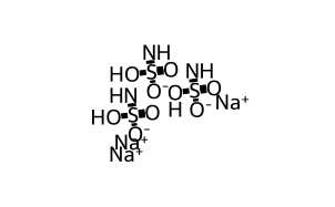 N=S(=O)([O-])O.N=S(=O)([O-])O.N=S(=O)([O-])O.[Na+].[Na+].[Na+]